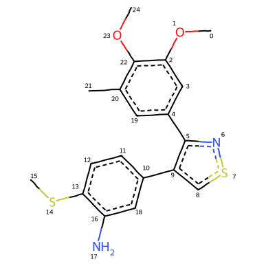 COc1cc(-c2nscc2-c2ccc(SC)c(N)c2)cc(C)c1OC